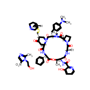 CC[C@H]1NC(=O)[C@@H](NC(=O)c2ncccc2O)[C@@H](C)OC(=O)[C@H](c2ccccc2)NC(=O)[C@@H]2CC(=O)[C@H](CS[C@@H]3CN4CCC3CC4)CN2C(=O)[C@H](Cc2ccc(N(C)C)cc2)N(C)C(=O)[C@@H]2CCCN2C1=O.Cc1ncc([N+](=O)[O-])n1CCO